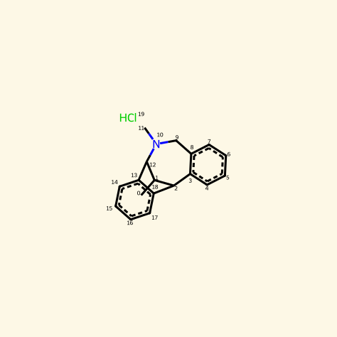 CC1C2c3ccccc3CN(C)C1c1ccccc12.Cl